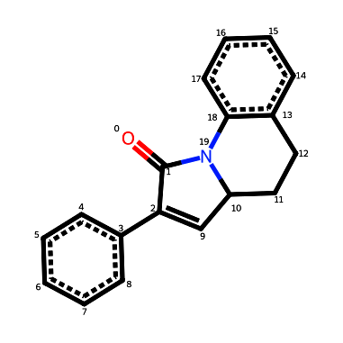 O=C1C(c2ccccc2)=CC2CCc3ccccc3N12